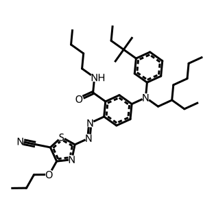 CCCCNC(=O)c1cc(N(CC(CC)CCCC)c2cccc(C(C)(C)CC)c2)ccc1N=Nc1nc(OCCC)c(C#N)s1